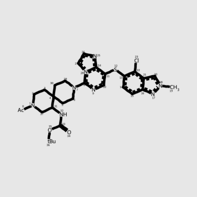 CC(=O)N1CCC2(CCN(c3ncc(Sc4ccc5nn(C)cc5c4Cl)c4nccn34)CC2)C(NC(=O)OC(C)(C)C)C1